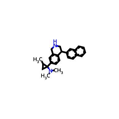 CC1CC1(c1ccc2c(c1)CNCC2c1ccc2ccccc2c1)N(C)C